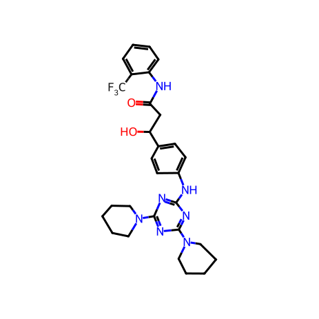 O=C(CC(O)c1ccc(Nc2nc(N3CCCCC3)nc(N3CCCCC3)n2)cc1)Nc1ccccc1C(F)(F)F